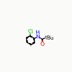 CC(C)(C)C(=O)Nc1c[c]ccc1Cl